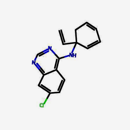 C=CC1(Nc2ncnc3cc(Cl)ccc23)C=CC=CC1